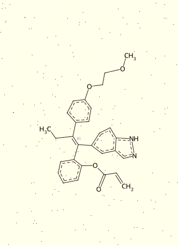 C=CC(=O)Oc1ccccc1/C(=C(\CC)c1ccc(OCCOC)cc1)c1ccc2[nH]ncc2c1